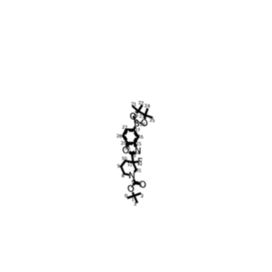 CC(C)(C)OC(=O)N1CCCC(F)(c2nc3cc(B4OC(C)(C)C(C)(C)O4)ccc3o2)C1